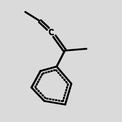 CC=C=C(C)c1ccccc1